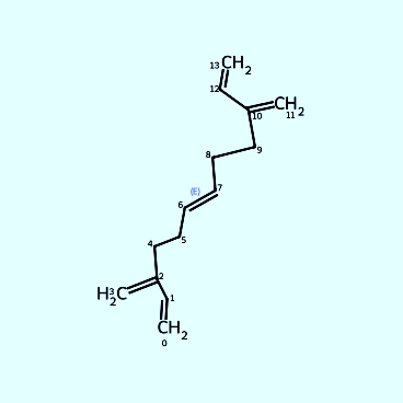 C=CC(=C)CC/C=C/CCC(=C)C=C